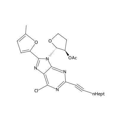 CCCCCCCC#Cc1nc(Cl)c2nc(-c3ccc(C)o3)n([C@@H]3OCC[C@H]3OC(C)=O)c2n1